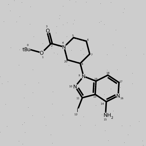 CC(C)(C)OC(=O)N1CCCC(n2nc(I)c3c(N)nccc32)C1